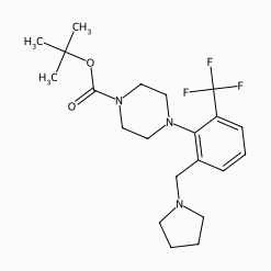 CC(C)(C)OC(=O)N1CCN(c2c(CN3CCCC3)cccc2C(F)(F)F)CC1